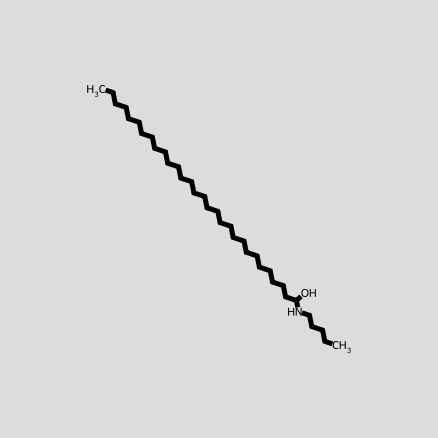 CCCCCCCCCCCCCCCCCCCCCCCCCCCCCC(O)NCCCCC